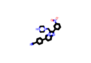 N#Cc1ccc(-c2ccc3nc(-c4cccc([N+](=O)[O-])c4)c(CN4CCNCC4)n3c2)cc1